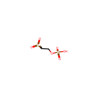 O=S(=O)=[C]COS(=O)(=O)O